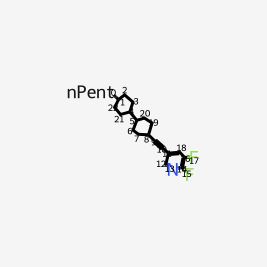 CCCCCC1CCC(C2CCC(C#Cc3cnc(F)c(F)c3)CC2)CC1